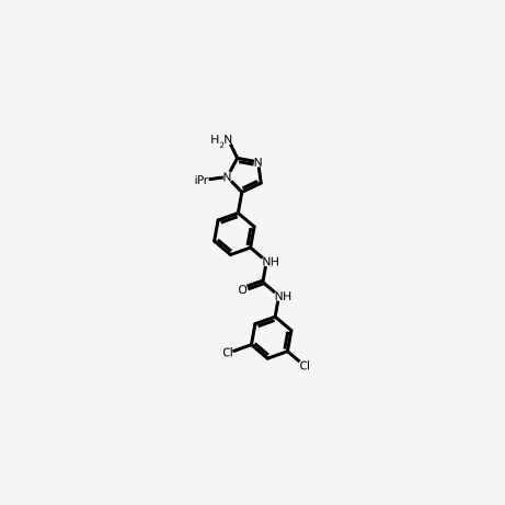 CC(C)n1c(-c2cccc(NC(=O)Nc3cc(Cl)cc(Cl)c3)c2)cnc1N